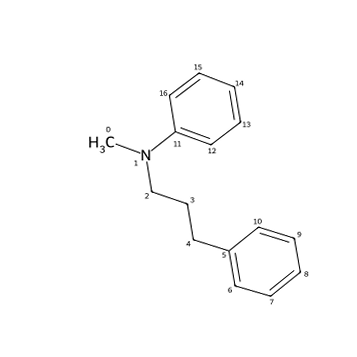 CN(CCCc1ccccc1)c1ccccc1